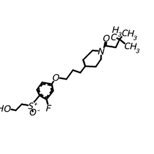 CC(C)(C)CC(=O)N1CCC(CCCOc2ccc([S+]([O-])CCO)c(F)c2)CC1